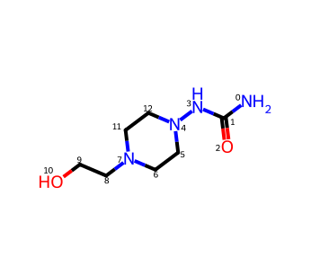 NC(=O)NN1CCN(CCO)CC1